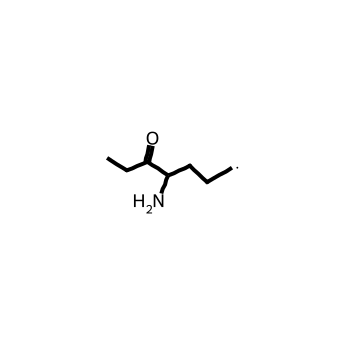 [CH2]CCC(N)C(=O)CC